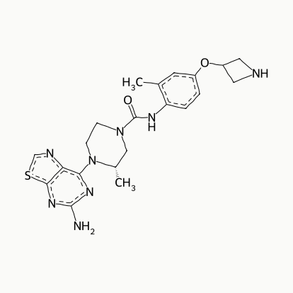 Cc1cc(OC2CNC2)ccc1NC(=O)N1CCN(c2nc(N)nc3scnc23)[C@@H](C)C1